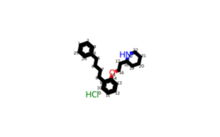 Cl.c1ccc(CCCCc2ccccc2OCCC2CCCCN2)cc1